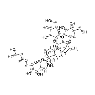 C=C1C[C@@]23CC[C@H]4[C@@](C)(CCC[C@@]4(C)C(=O)O[C@@H]4OC(COC(=O)CC(O)O)[C@@H](O)C(O)C4O)[C@@H]2CC[C@]1(O[C@@H]1O[C@H](CO)C(O)C(O)[C@H]1O[C@@H]1OC(CO)[C@@H](O)C(O)C1O)C3